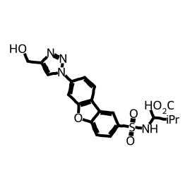 CC(C)C(NS(=O)(=O)c1ccc2oc3cc(-n4cc(CO)nn4)ccc3c2c1)C(=O)O